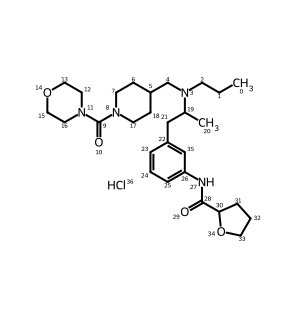 CCCN(CC1CCN(C(=O)N2CCOCC2)CC1)C(C)Cc1cccc(NC(=O)C2CCCO2)c1.Cl